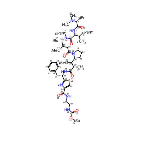 CCCCCC(C)[C@H](NC(=O)[C@H](C(C)C)N(C)C)C(=O)N(CCCCC)[C@@H]([C@@H](C)CC)[C@@H](CC(=O)N1CCC[C@H]1[C@H](OC)[C@@H](C)C(=O)N[C@@H](Cc1ccccc1)c1nc(C(=O)NCCNC(=O)OC(C)(C)C)cs1)OC